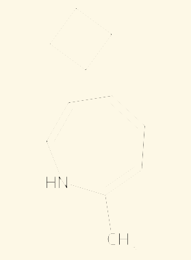 C1CCC1.CC1=CC=CC=CN1